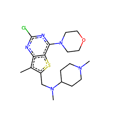 Cc1c(CN(C)C2CCN(C)CC2)sc2c(N3CCOCC3)nc(Cl)nc12